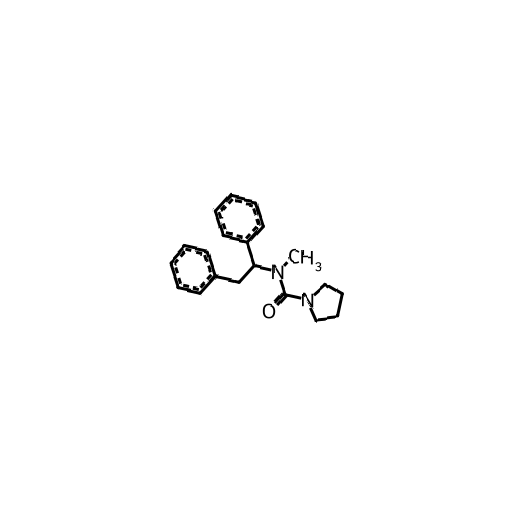 CN(C(=O)N1CCCC1)C(Cc1ccccc1)c1ccccc1